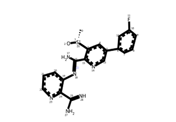 C[S@@+]([O-])c1cc(-c2cccc(F)c2)cnc1/C(N)=N/c1cccnc1C(=N)N